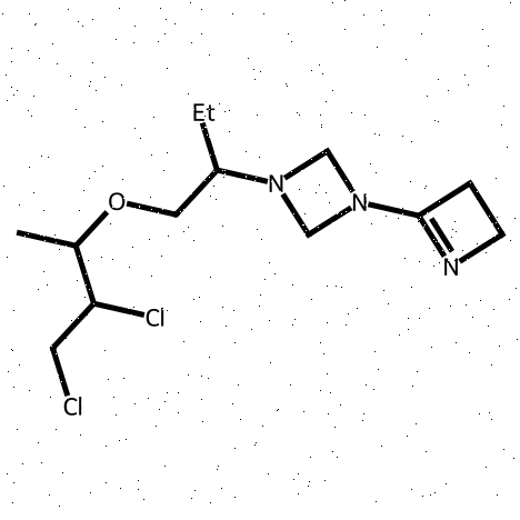 CCC(COC(C)C(Cl)CCl)N1CN(C2=NCC2)C1